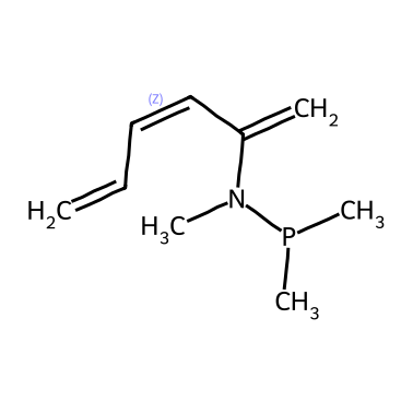 C=C/C=C\C(=C)N(C)P(C)C